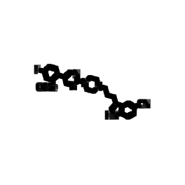 COc1cc(F)ccc1-c1cnc(N2CCN(CCCc3c[nH]c4ccc(C#N)cc34)CC2)nc1